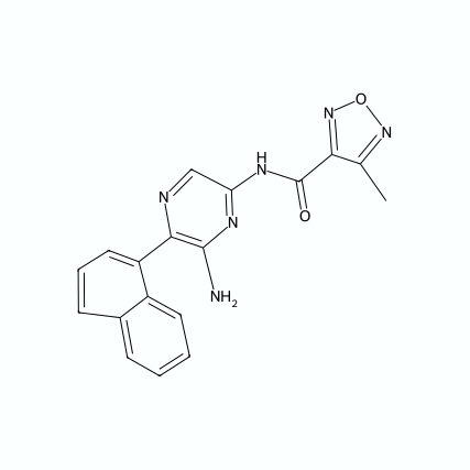 Cc1nonc1C(=O)Nc1cnc(-c2cccc3ccccc23)c(N)n1